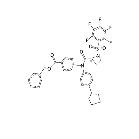 O=C(OCc1ccccc1)c1ccc(N(C(=O)[C@H]2CCN2S(=O)(=O)c2c(F)c(F)c(F)c(F)c2F)c2ccc(C3=CCCC3)cc2)cc1